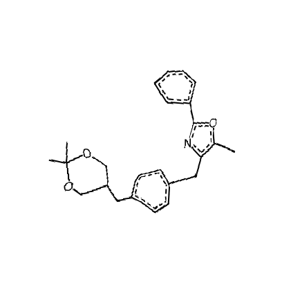 Cc1oc(-c2ccccc2)nc1Cc1ccc(CC2COC(C)(C)OC2)cc1